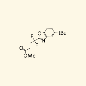 COC(=O)CCC(F)(F)c1nc2cc(C(C)(C)C)ccc2o1